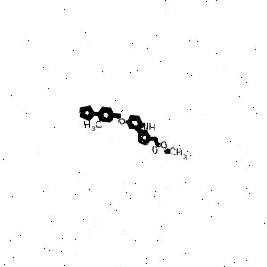 CCOC(=O)CC1CCc2c1[nH]c1ccc(OCc3ccc(C4CCCC4)c(C)c3)cc21